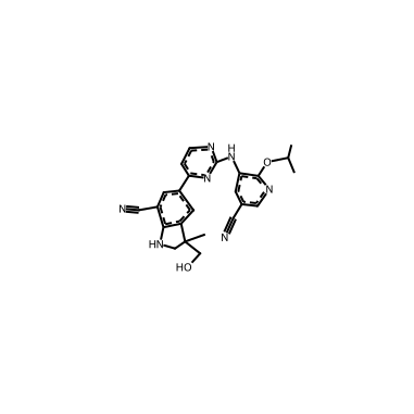 CC(C)Oc1ncc(C#N)cc1Nc1nccc(-c2cc(C#N)c3c(c2)C(C)(CO)CN3)n1